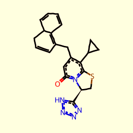 O=c1cc(CC2=C3C=CC=CC3CC=C2)c(C2CC2)c2n1[C@H](c1nnn[nH]1)CS2